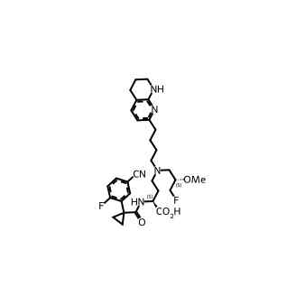 CO[C@H](CF)CN(CCCCc1ccc2c(n1)NCCC2)CC[C@H](NC(=O)C1(c2cc(C#N)ccc2F)CC1)C(=O)O